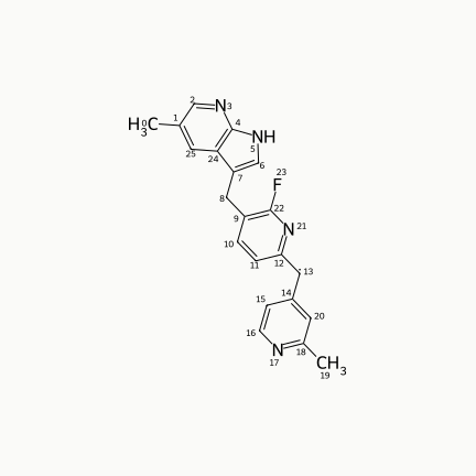 Cc1cnc2[nH]cc(Cc3ccc([CH]c4ccnc(C)c4)nc3F)c2c1